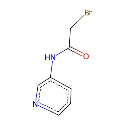 O=C(CBr)Nc1cccnc1